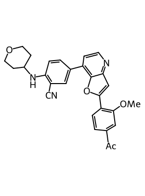 COc1cc(C(C)=O)ccc1-c1cc2nccc(-c3ccc(NC4CCOCC4)c(C#N)c3)c2o1